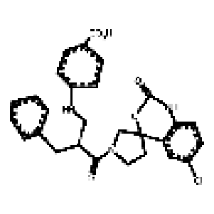 O=C1Nc2ccc(Cl)cc2C2(CCN(C(=O)[C@H](CNc3ccc(C(=O)O)cc3)Cc3ccccc3)C2)O1